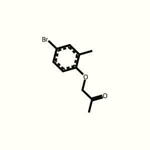 CC(=O)COc1ccc(Br)cc1C